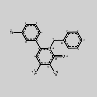 CCc1cccc(-c2cc(C(F)(F)F)c(C#N)c(=O)n2Cc2ccccc2)c1